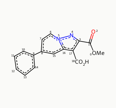 COC(=O)c1nn2ccc(-c3ccccc3)cc2c1C(=O)O